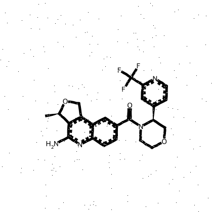 C[C@H]1OCc2c1c(N)nc1ccc(C(=O)N3CCOC[C@@H]3c3ccnc(C(F)(F)F)c3)cc21